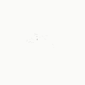 Cc1nsc(Nc2cnc3ccccc3n2)c1C(=O)Nc1ccc(OCCCNC(=O)OC(C)(C)C)nc1